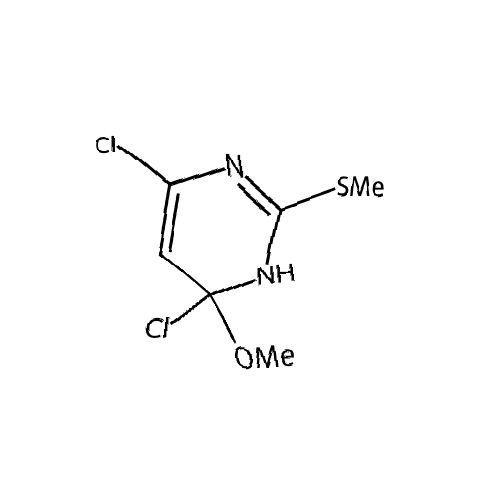 COC1(Cl)C=C(Cl)N=C(SC)N1